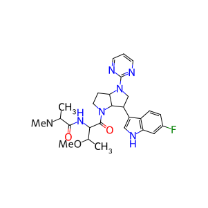 CNC(C)C(=O)NC(C(=O)N1CCC2C1C(c1c[nH]c3cc(F)ccc13)CN2c1ncccn1)C(C)OC